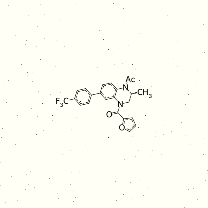 CC(=O)N1c2ccc(-c3ccc(C(F)(F)F)cc3)cc2N(C(=O)c2ccco2)C[C@@H]1C